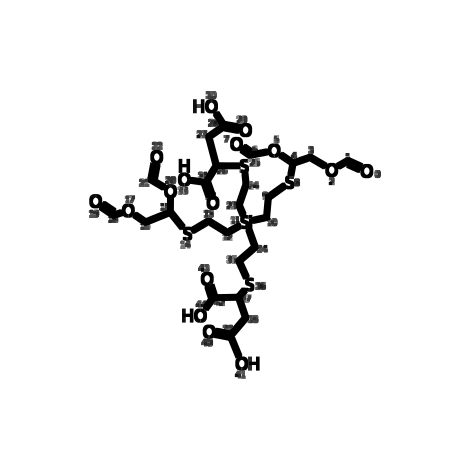 O=COCC(OC=O)SCC[Si](CCSC(COC=O)OC=O)(CCSC(CC(=O)O)C(=O)O)CCSC(CC(=O)O)C(=O)O